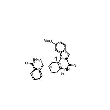 COc1ccc2cc3n(c2c1)[C@H]1C[C@@H](c2n[nH]c(=O)c4ccccc24)CC[C@@H]1NC3=O